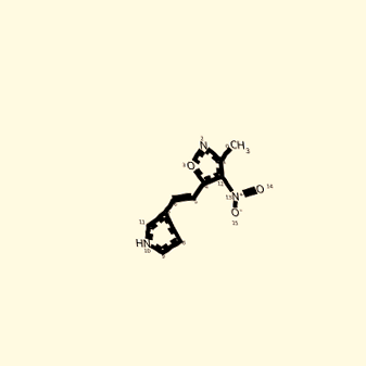 Cc1noc(C=Cc2cc[nH]c2)c1[N+](=O)[O-]